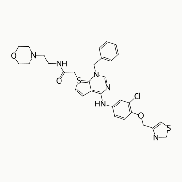 O=C(CS1=C2C(=C(Nc3ccc(OCc4cscn4)c(Cl)c3)N=CN2Cc2ccccc2)C=C1)NCCN1CCOCC1